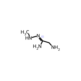 CN/N=C(\N)CN